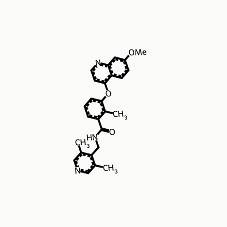 COc1ccc2c(Oc3cccc(C(=O)NCc4c(C)cncc4C)c3C)ccnc2c1